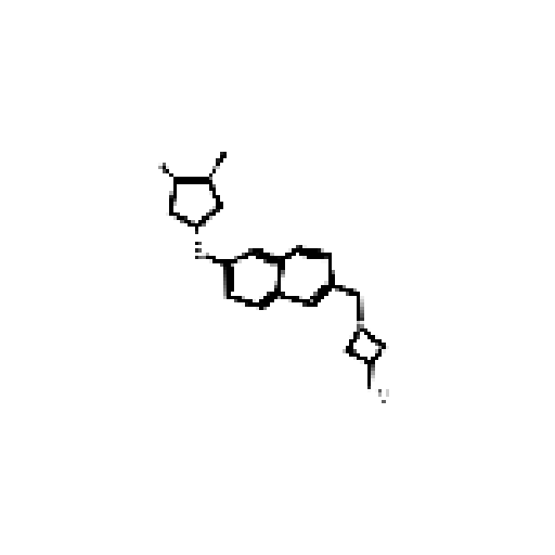 C[C@@H]1C[C@@H](Oc2ccc3cc(CN4CC(C(=O)O)C4)ccc3c2)C[C@@H]1C